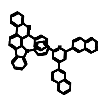 c1ccc(-n2c3ccccc3c3ccc4c5ccccc5nc(-c5ccc(-c6cc(-c7ccc8ccccc8c7)cc(-c7ccc8ccccc8c7)n6)cc5)c4c32)cc1